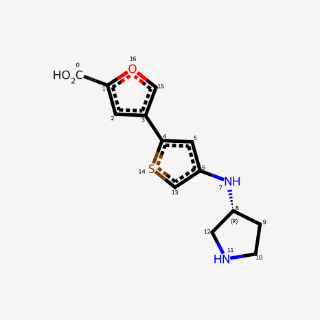 O=C(O)c1cc(-c2cc(N[C@@H]3CCNC3)cs2)co1